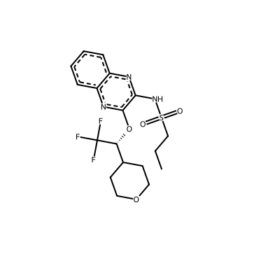 CCCS(=O)(=O)Nc1nc2ccccc2nc1O[C@H](C1CCOCC1)C(F)(F)F